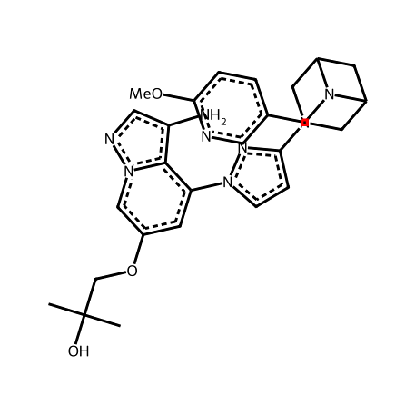 COc1ccc(CN2C3CC2CN(c2ccn(-c4cc(OCC(C)(C)O)cn5ncc(N)c45)n2)C3)cn1